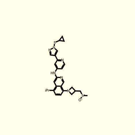 CC(C)c1ccc(N2CC(C[S+](C)[O-])C2)c2cnc(Nc3ccnc(-c4cnn(SC5CC5)c4)c3)cc12